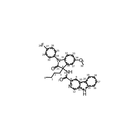 CCCCC1(NC(=O)c2cc3c(cn2)[nH]c2ccccc23)C(=O)N(c2ccc(F)cc2)c2ccc(OC)cc21